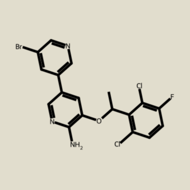 CC(Oc1cc(-c2cncc(Br)c2)cnc1N)c1c(Cl)ccc(F)c1Cl